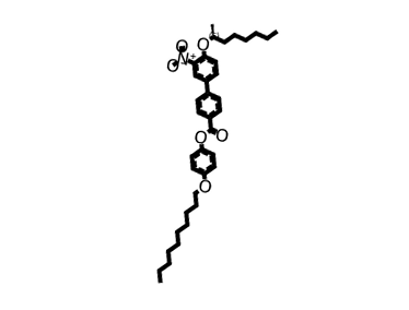 CCCCCCCCCCOc1ccc(OC(=O)c2ccc(-c3ccc(O[C@@H](C)CCCCCC)c([N+](=O)[O-])c3)cc2)cc1